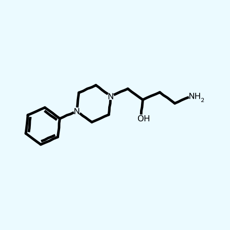 NCCC(O)CN1CCN(c2ccccc2)CC1